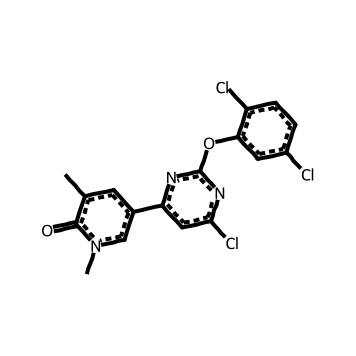 Cc1cc(-c2cc(Cl)nc(Oc3cc(Cl)ccc3Cl)n2)cn(C)c1=O